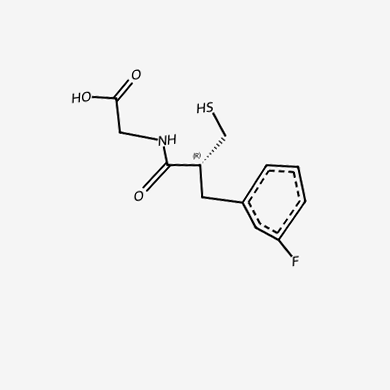 O=C(O)CNC(=O)[C@H](CS)Cc1cccc(F)c1